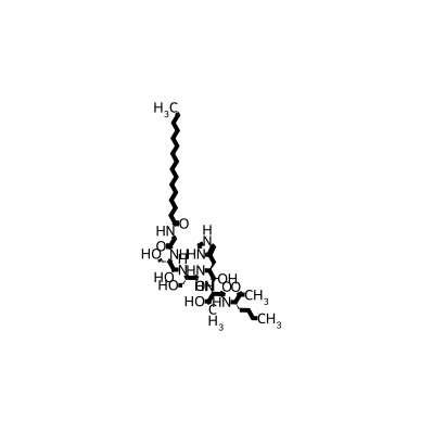 CCCCCCCCCCCCCCCC(=O)NCC(=O)N[C@@H](CO)[C@H](O)N[C@@H](CO)[C@H](O)N[C@@H](CC1=CNCN1)[C@H](O)N[C@H](C(=O)N[C@@H](CCCC)C(C)=O)C(C)O